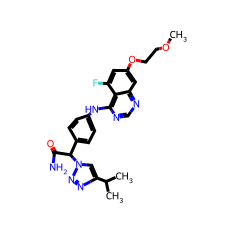 COCCOc1cc(F)c2c(Nc3ccc(C(C(N)=O)n4cc(C(C)C)nn4)cc3)ncnc2c1